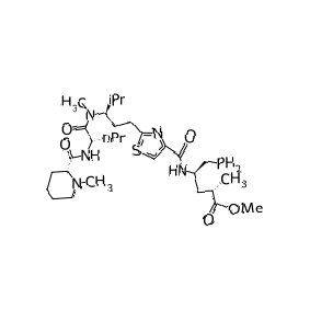 CCC[C@H](NC(=O)[C@H]1CCCCN1C)C(=O)N(C)[C@H](CCc1nc(C(=O)N[C@@H](CP)C[C@H](C)C(=O)OC)cs1)C(C)C